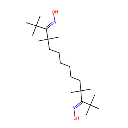 CC(C)(C)/C(=N\O)C(C)(C)CCCCCCC(C)(C)/C(=N/O)C(C)(C)C